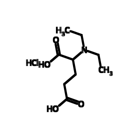 CCN(CC)C(CCC(=O)O)C(=O)O.Cl